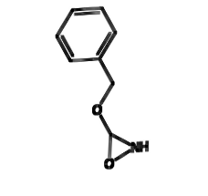 c1ccc(COC2NO2)cc1